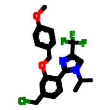 COc1ccc(COc2cc(CCl)ccc2-c2nc(C(F)(F)F)cn2C(C)C)cc1